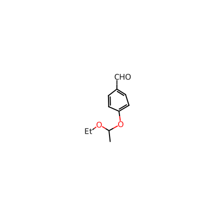 CCOC(C)Oc1ccc(C=O)cc1